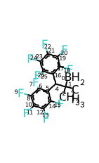 BC(C)(C)C(c1c(F)c(F)c(F)c(F)c1F)c1c(F)c(F)c(F)c(F)c1F